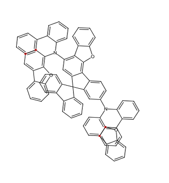 c1ccc(-c2ccccc2N(c2ccc3c(c2)C2(c4ccccc4-c4ccccc42)c2cc(N(c4ccccc4-c4ccccc4)c4cccc5c4oc4ccccc45)c4c(oc5ccccc54)c2-3)c2cccc3c2oc2ccccc23)cc1